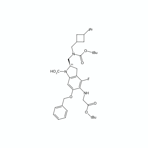 CC(C)C1CC(CN(C[C@H]2Cc3c(cc(OCc4ccccc4)c(NCC(=O)OC(C)(C)C)c3F)N2C(=O)O)C(=O)OC(C)(C)C)C1